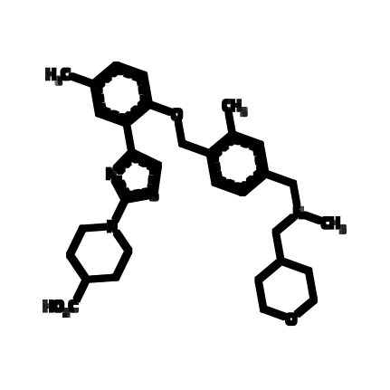 Cc1ccc(OCc2ccc(CN(C)CC3CCOCC3)cc2C)c(-c2csc(N3CCC(C(=O)O)CC3)n2)c1